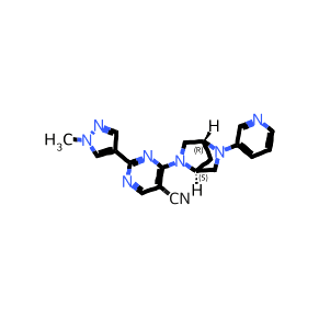 Cn1cc(-c2ncc(C#N)c(N3C[C@H]4C[C@H]3CN4c3cccnc3)n2)cn1